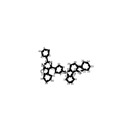 c1ccc(-c2nc(-c3ccc(-n4c5ccccc5c5c6sc7ccccc7c6ccc54)cc3)c3c(n2)oc2ccccc23)cc1